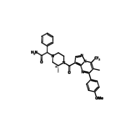 COc1ccc(-c2nc3c(C(=O)N4CCN(C(C(N)=O)c5ccccc5)C[C@H]4C)cnn3c(C(F)(F)F)c2C)cc1